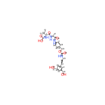 CC(NC(=O)C(NC(=O)O)C(C)C)C(=O)Nc1ccc(COC(=O)NCC#Cc2cc(CO)cc(CO)c2)cc1